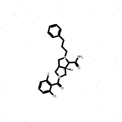 NC(=O)C1[C@@H]2CN(C(=O)c3c(F)cccc3Cl)CC2CN1CC[CH]c1ccccc1